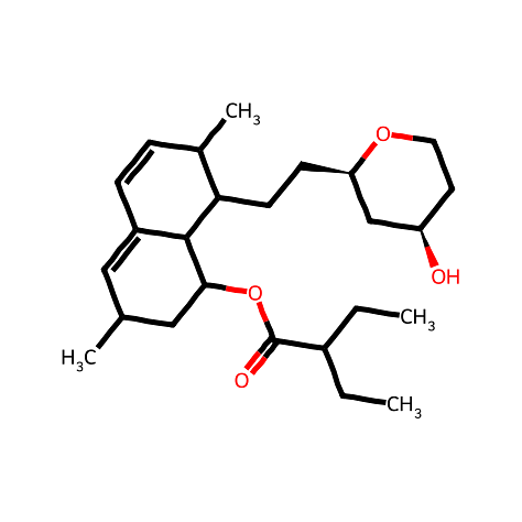 CCC(CC)C(=O)OC1CC(C)C=C2C=CC(C)C(CC[C@@H]3C[C@H](O)CCO3)C21